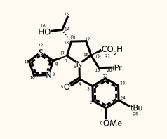 COc1cc(C(=O)N2[C@@H](c3nccs3)[C@H](C(C)O)C[C@@]2(CC(C)C)C(=O)O)ccc1C(C)(C)C